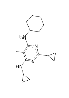 Cc1c(NC2CCCCC2)nc(C2CC2)nc1NC1CC1